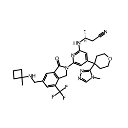 C[C@H](CC#N)Nc1cc(C2(c3nncn3C)CCOCC2)cc(N2Cc3c(cc(CNC4(C)CCC4)cc3C(F)(F)F)C2=O)n1